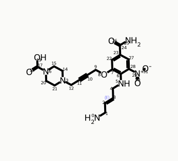 NC/C=C/CNc1c(OCC#CCN2CCN(C(=O)O)CC2)cc(C(N)=O)cc1[N+](=O)[O-]